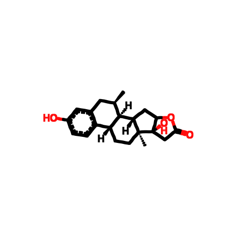 C[C@@H]1Cc2cc(O)ccc2[C@H]2CC[C@@]3(C)[C@@H](CC4OC(=O)C[C@@]43O)[C@H]12